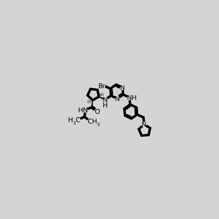 CC(C)NC(=O)[C@H]1CCC[C@H]1Nc1nc(Nc2cccc(CN3CCCC3)c2)ncc1Br